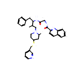 CC(=O)C1CC(SCc2cccnc2)CCN1CC(C)C(Cc1ccccc1)NC(=O)[C@@H](NC(=O)c1ccc2ccccc2n1)C(C)C